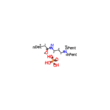 CCCCCCCCCCCC(=O)NCCCN(CCCCC)CCCCC.O=P(O)(O)O